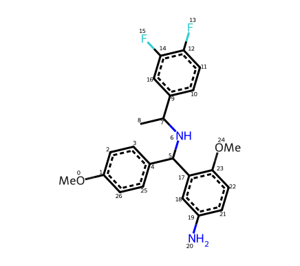 COc1ccc(C(NC(C)c2ccc(F)c(F)c2)c2cc(N)ccc2OC)cc1